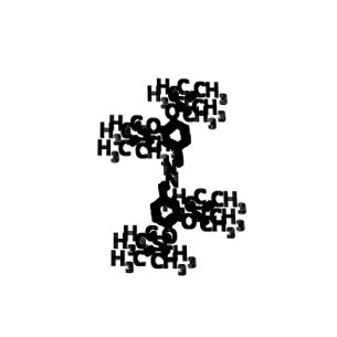 CC(C)(C)[Si](C)(C)Oc1ccc(C=NN=Cc2ccc(O[Si](C)(C)C(C)(C)C)c(O[Si](C)(C)C(C)(C)C)c2)cc1O[Si](C)(C)C(C)(C)C